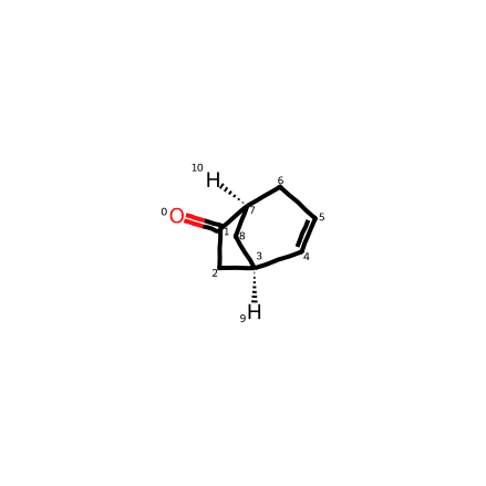 O=C1C[C@@H]2C=CC[C@H]1C2